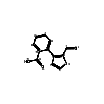 O=Cc1sccc1-c1ccccc1C(=O)O